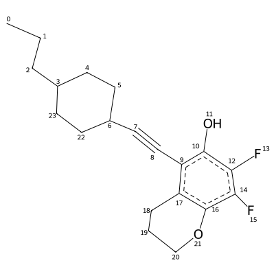 CCCC1CCC(C#Cc2c(O)c(F)c(F)c3c2CCCO3)CC1